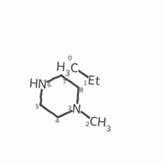 CCC.CN1CCNCC1